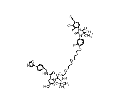 CC(C)(C)[C@H](NC(=O)COCCCOCCCCOc1ccc(N2C(=S)N(c3ccc(C#N)c(Cl)c3F)C(=O)C2(C)C)cc1F)C(=O)N1C[C@H](O)C[C@H]1C(=O)NCc1ccc(-c2cnco2)cc1